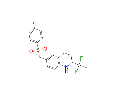 Cc1ccc(S(=O)(=O)Cc2ccc3c(c2)CCC(C(F)(F)F)N3)cc1